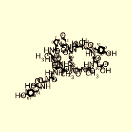 CC(NC(=O)C1CCCN1C(=O)[C@H](CC=O)NC(=O)C1CSSCC(N)C(=O)N[C@@H](C)C(=O)NC(CCC(=O)O)C(=O)N[C@@H](Cc2ccc(O)cc2)C(=O)NC(C)C(=O)N1)C(=O)N[C@@H](C)C(=O)NC(C(=O)NCC(=O)NCC(=O)N[C@@H](Cc1ccc(O)cc1)C(=O)O)[C@H](C)O